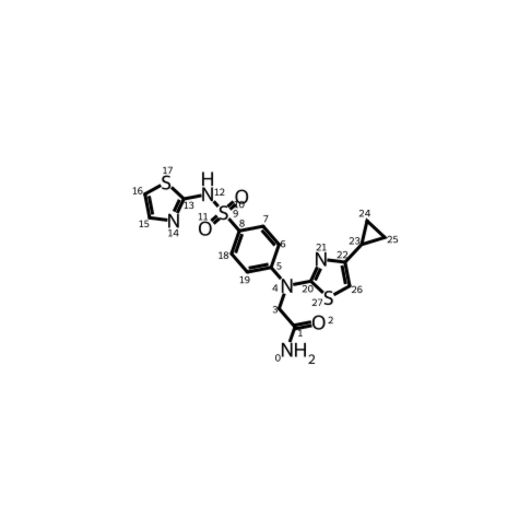 NC(=O)CN(c1ccc(S(=O)(=O)Nc2nccs2)cc1)c1nc(C2CC2)cs1